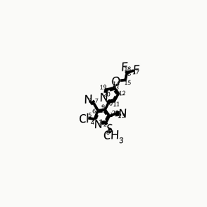 CSc1nc(Cl)c(C#N)c(-c2ccc(OCC(F)F)cn2)c1C#N